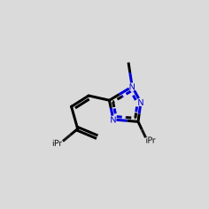 C=C(/C=C\c1nc(C(C)C)nn1C)C(C)C